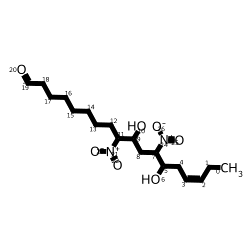 CC/C=C\CC(O)C(CC(O)C(CCCCCCC[C]=O)[N+](=O)[O-])[N+](=O)[O-]